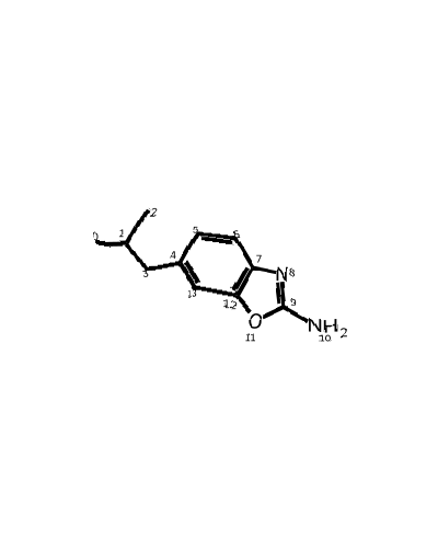 CC(C)Cc1ccc2nc(N)oc2c1